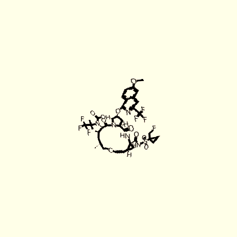 COc1ccc2c(O[C@@H]3C[C@H]4C(=O)N[C@]5(C(=O)NS(=O)(=O)C6(CF)CC6)C[C@H]5/C=C\CC[C@H](C)C[C@@H](C)[C@H](N(C(=O)O)C(C)(C)C(F)(F)F)C(=O)N4C3)nc(C(F)(F)F)cc2c1